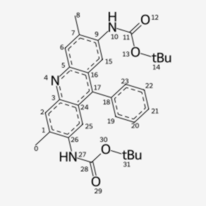 Cc1cc2nc3cc(C)c(NC(=O)OC(C)(C)C)cc3c(-c3ccccc3)c2cc1NC(=O)OC(C)(C)C